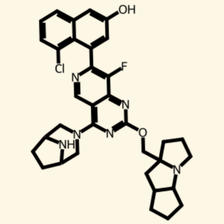 Oc1cc(-c2ncc3c(N4CC5CCC(C4)N5)nc(OCC45CCCN4C4CCCC4C5)nc3c2F)c2c(Cl)cccc2c1